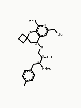 COc1nc(CC(C)(C)C)cc2c1OC1(CCC1)C[C@@H]2NC[C@H](O)[C@H](Cc1ccc(F)cc1)NC(C)=O